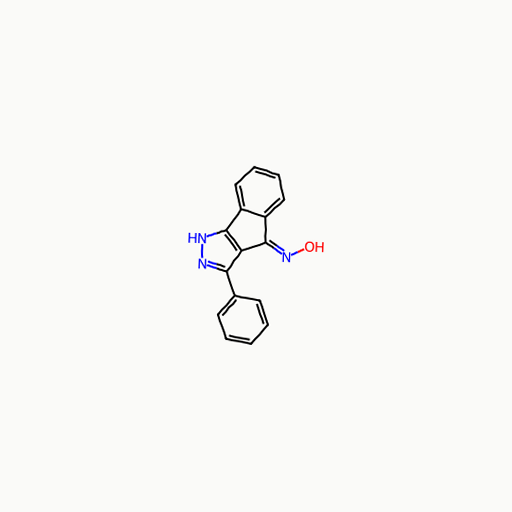 ON=C1c2ccccc2-c2[nH]nc(-c3ccccc3)c21